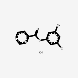 N#Cc1cc(Cl)cc(OC(=O)c2ccncn2)c1.[KH]